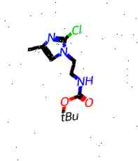 Cc1cn(CCNC(=O)OC(C)(C)C)c(Cl)n1